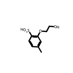 Cc1[c]cc(S(=O)(=O)O)c(OCCO)c1